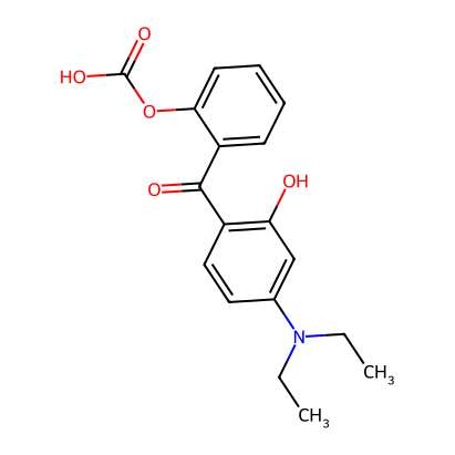 CCN(CC)c1ccc(C(=O)c2ccccc2OC(=O)O)c(O)c1